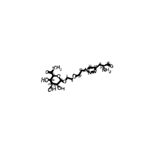 CC(=O)C1OC(OCCOCCn2cc(C[C@H](N)C=O)nn2)[C@@H](O)[C@@H](O)C1O